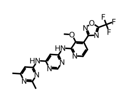 COc1c(-c2noc(C(F)(F)F)n2)ccnc1Nc1cc(Nc2cc(C)nc(C)n2)ncn1